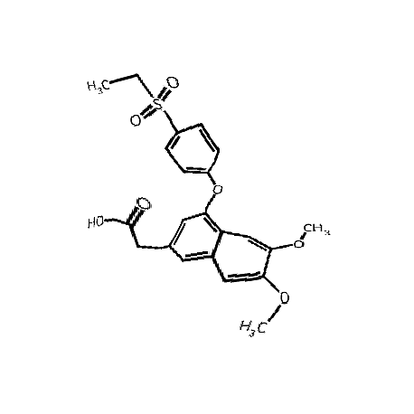 CCS(=O)(=O)c1ccc(Oc2cc(CC(=O)O)cc3cc(OC)c(OC)cc23)cc1